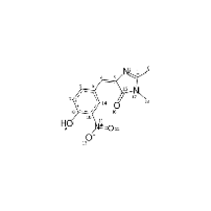 CC1=N/C(=C/c2ccc(O)c([N+](=O)[O-])c2)C(=O)N1C